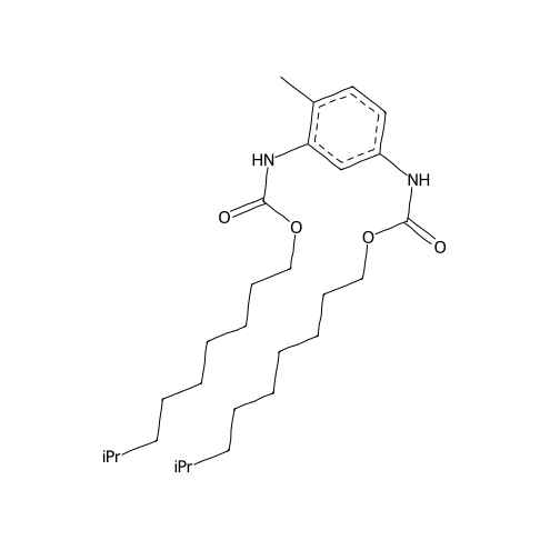 Cc1ccc(NC(=O)OCCCCCCCC(C)C)cc1NC(=O)OCCCCCCCC(C)C